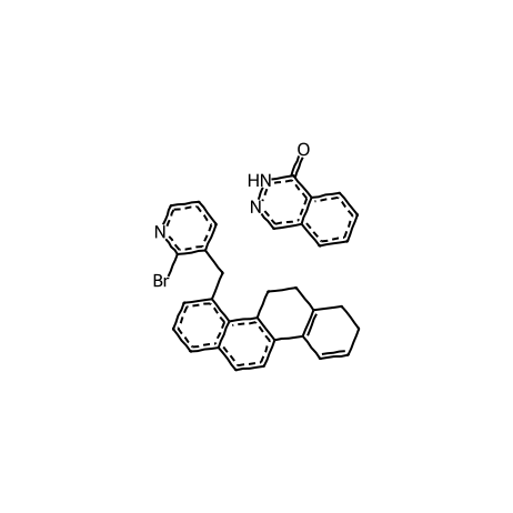 Brc1ncccc1Cc1cccc2ccc3c(c12)CCC1=C3C=CCC1.O=c1[nH]ncc2ccccc12